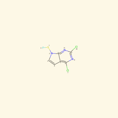 FSn1ccc2c(Cl)nc(Cl)nc21